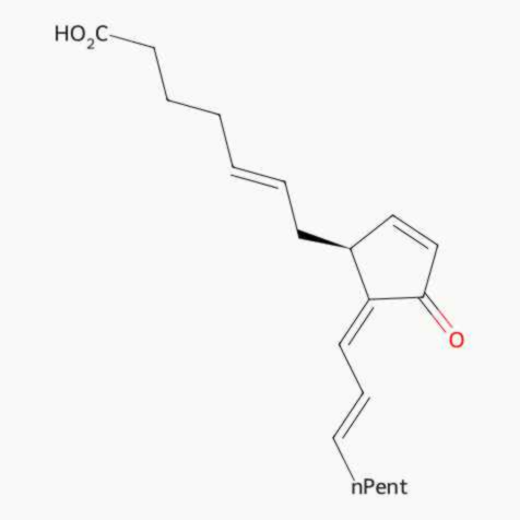 CCCCC/C=C/C=C1C(=O)C=C[C@@H]1C/C=C/CCCC(=O)O